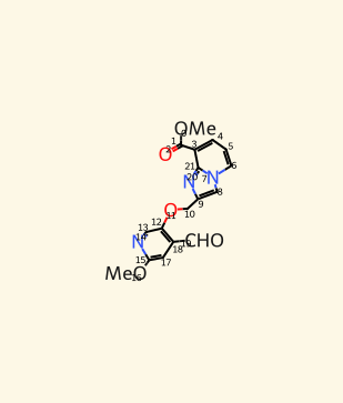 COC(=O)c1cccn2cc(COc3cnc(OC)cc3C=O)nc12